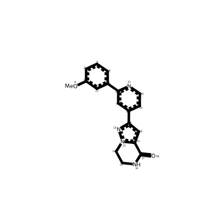 COc1cccc(-c2cc(-c3cc4n(n3)CCNC4=O)ccn2)c1